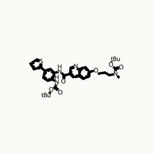 CN(CCCOc1ccc2cc(C(=O)Nc3cc(-c4cccs4)ccc3NC(=O)OC(C)(C)C)cnc2c1)C(=O)OC(C)(C)C